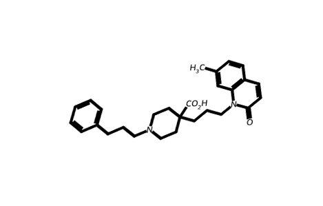 Cc1ccc2ccc(=O)n(CCCC3(C(=O)O)CCN(CCCc4ccccc4)CC3)c2c1